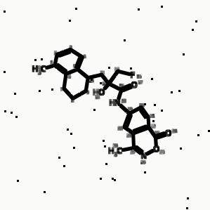 Cc1cccc2c1CCCC2CC(O)(CF)C(=O)Nc1ccc2c(=O)onc(C)c2c1